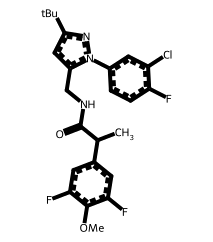 COc1c(F)cc(C(C)C(=O)NCc2cc(C(C)(C)C)nn2-c2ccc(F)c(Cl)c2)cc1F